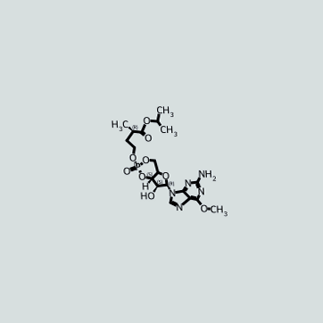 COc1nc(N)nc2c1ncn2[C@@H]1OC2CO[P@](=O)(OCC[C@@H](C)C(=O)OC(C)C)O[C@H]2[C@@H]1O